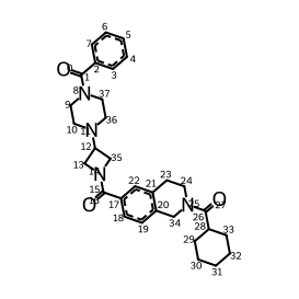 O=C(c1ccccc1)N1CCN(C2CN(C(=O)c3ccc4c(c3)CCN(C(=O)C3CCCCC3)C4)C2)CC1